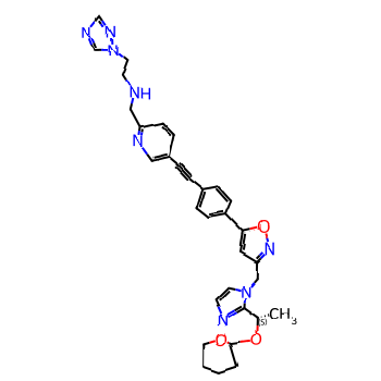 C[C@H](OC1CCCCO1)c1nccn1Cc1cc(-c2ccc(C#Cc3ccc(CNCCn4cncn4)nc3)cc2)on1